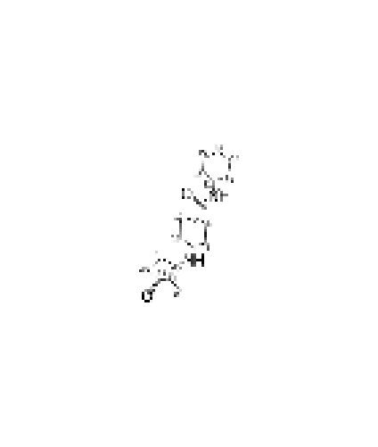 CC1=C(N[C@H]2CC[C@@H](C(=O)NC3CCCCC3)CC2)CCC1=O